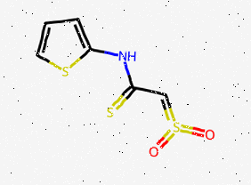 O=S(=O)=CC(=S)Nc1cccs1